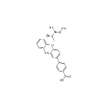 CON(C)C(=O)C[C@H](c1ccc(-c2ccc(C(=O)O)cc2)cc1)c1ccccc1C